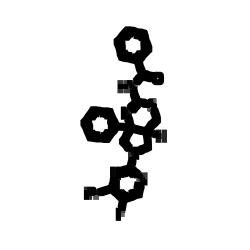 CC(C)c1nc(N2C[C@H]3CSC(NC(=O)c4ccccc4)=NC3(c3ccccc3)C2)ncc1F